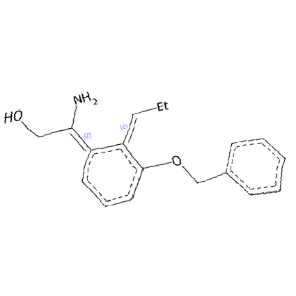 CC/C=c1\c(OCc2ccccc2)ccc\c1=C(\N)CO